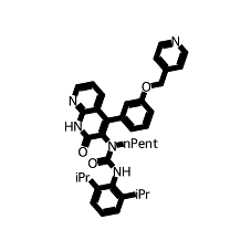 CCCCCN(C(=O)Nc1c(C(C)C)cccc1C(C)C)c1c(-c2cccc(OCc3ccncc3)c2)c2cccnc2[nH]c1=O